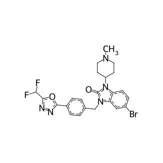 CN1CCC(n2c(=O)n(Cc3ccc(-c4nnc(C(F)F)o4)cc3)c3cc(Br)ccc32)CC1